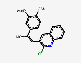 COc1ccc(C(C#N)=Cc2cc3ccccc3nc2Cl)cc1OC